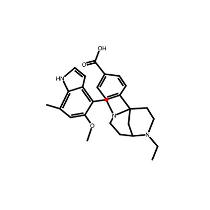 CCN1CCC2(c3ccc(C(=O)O)cc3)CC1CCN2Cc1c(OC)cc(C)c2[nH]ccc12